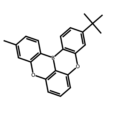 Cc1ccc2c(c1)Oc1cccc3c1B2c1ccc(C(C)(C)C)cc1O3